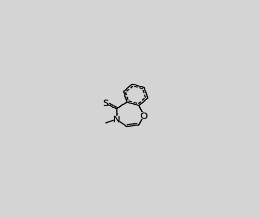 CN1C=COc2ccccc2C1=S